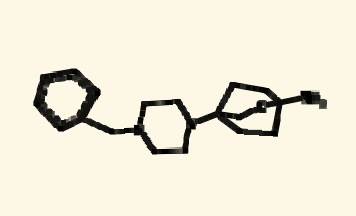 NC12CCC(N3CCN(Cc4ccccc4)CC3)(CC1)CC2